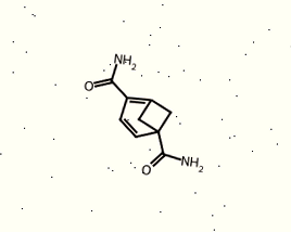 NC(=O)C1=C2CC(C(N)=O)(C=C1)C2